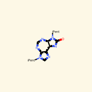 CCCC(C)n1c2ncnc3c(ncn3C(C)CCC)c-2nc1=O